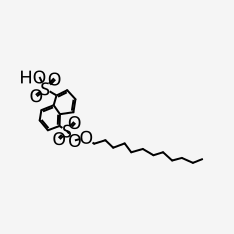 CCCCCCCCCCCCOOS(=O)(=O)c1cccc2c(S(=O)(=O)O)cccc12